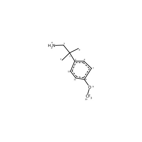 CC(C)(CN)c1ccc(OC(F)(F)F)cc1